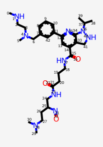 CNCCN(C)Cc1cccc(-c2cc(C(=O)NCCCC(=O)NCC(CCN(C)C)N=O)c3c(n2)N(C(C)C)NC3)c1